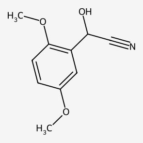 COc1ccc(OC)c(C(O)C#N)c1